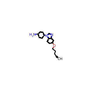 C#CCCCOc1ccc2c(c1)ncn2-c1ccc(N)cc1